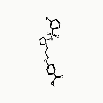 O=C(c1ccc(OCCCN2CCCC2NS(=O)(=O)c2cccc(F)c2)cc1)C1CC1